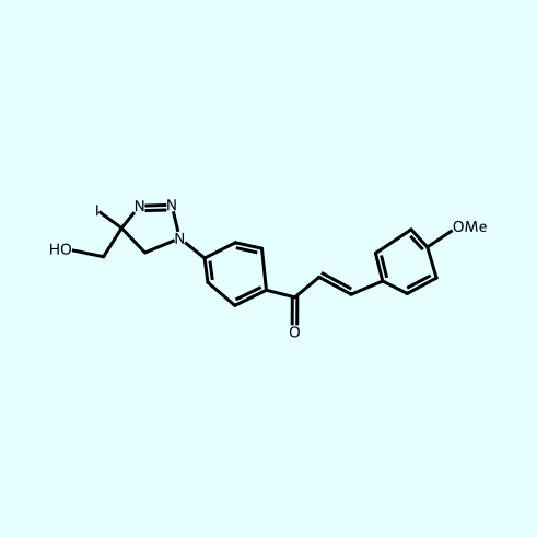 COc1ccc(C=CC(=O)c2ccc(N3CC(I)(CO)N=N3)cc2)cc1